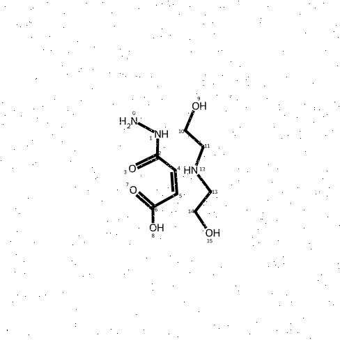 NNC(=O)/C=C\C(=O)O.OCCNCCO